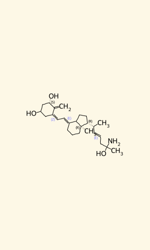 C=C1/C(=C\C=C2/CCC[C@@]3(C)C2CC[C@@H]3C(C)/C=C/CC(C)(N)O)CC(O)C[C@@H]1O